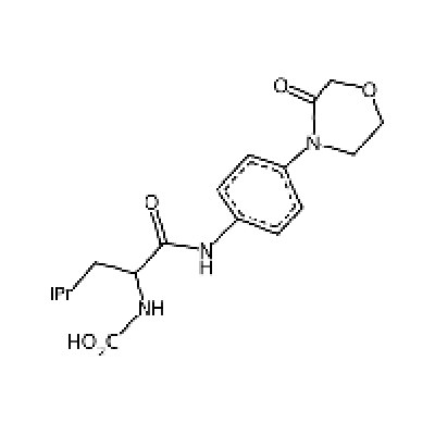 CC(C)CC(NC(=O)O)C(=O)Nc1ccc(N2CCOCC2=O)cc1